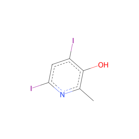 Cc1nc(I)cc(I)c1O